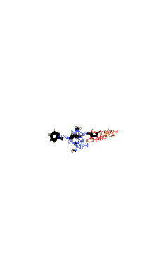 CNc1nc(NCc2ccccc2)c2ncn([C@@H]3O[C@H](COCP(=O)(O)O)[C@@H](O)[C@H]3O)c2n1